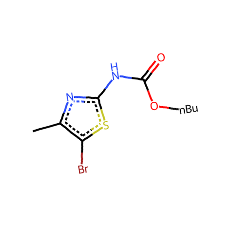 CCCCOC(=O)Nc1nc(C)c(Br)s1